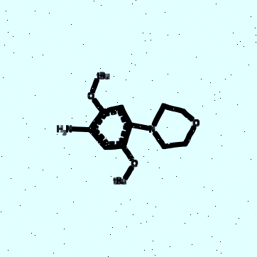 CC(C)(C)Oc1cc(N2CCOCC2)c(OC(C)(C)C)cc1N